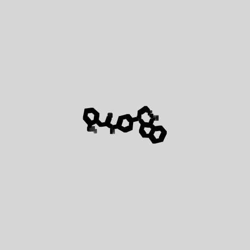 Cc1ccccc1CC(=O)Nc1ccc(N2C=CCNc3c2ccc2ccccc32)cc1